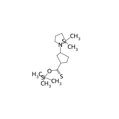 C[Si](C)(C)OC(=S)C1CCC(N2CCC[Si]2(C)C)C1